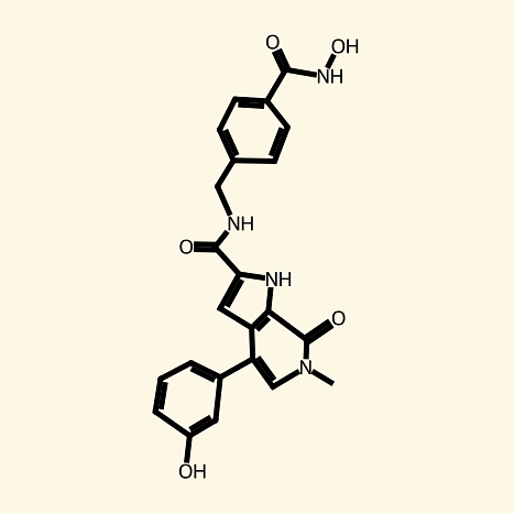 Cn1cc(-c2cccc(O)c2)c2cc(C(=O)NCc3ccc(C(=O)NO)cc3)[nH]c2c1=O